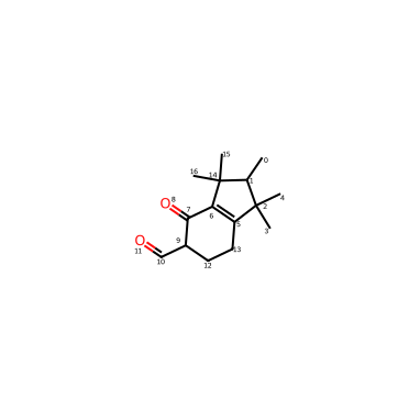 CC1C(C)(C)C2=C(C(=O)C(C=O)CC2)C1(C)C